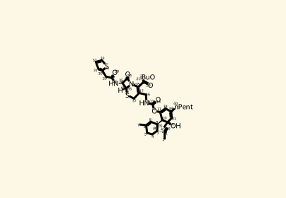 C=C(C)[C@@H]1CCC(C)=C[C@H]1C1C(OC(=O)NCC2=C(C(=O)OCC(C)C)N3C(=O)[C@@H](NC(=O)Cc4cccs4)[C@H]3SC2)=CC(CCCCC)=CC1(C)O